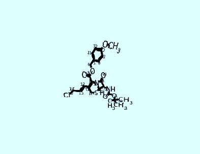 COc1ccc(COC(=O)C2=C(/C=C/CCl)CS[C@H]3[C@H](NC(=O)OC(C)(C)C)C(=O)N23)cc1